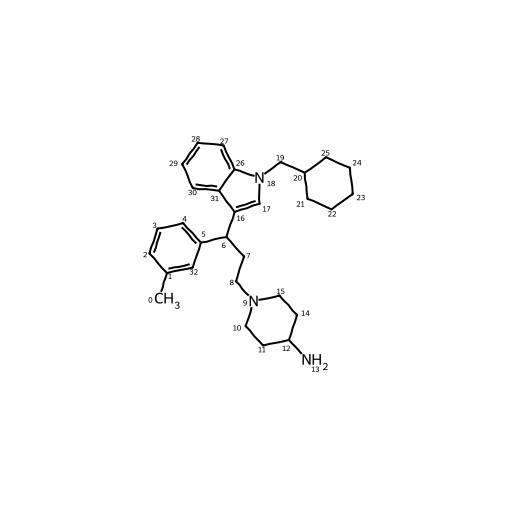 Cc1cccc(C(CCN2CCC(N)CC2)c2cn(CC3CCCCC3)c3ccccc23)c1